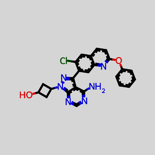 Nc1ncnc2c1c(-c1cc3nc(Oc4ccccc4)ccc3cc1Cl)nn2C1CC(O)C1